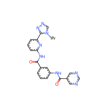 CC(C)n1cnnc1-c1cccc(NC(=O)c2cccc(NC(=O)c3cncnc3)c2)n1